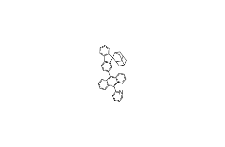 c1ccc(-c2c3ccccc3c(-c3ccc4c(c3)C3(c5ccccc5-4)C4CC5CC(C4)CC3C5)c3ccccc23)nc1